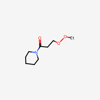 CCOOCCC(=O)N1CCCCC1